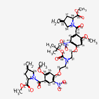 C=C1CC(C(=O)OC)N(C(=O)c2cc([N+](=O)[O-])c(OCCN(CCOc3cc(OC)c(C(=O)N4CC(=C)CC4C(=O)OC)cc3[N+](=O)[O-])C(=O)OC(C)(C)C)cc2OC)C1